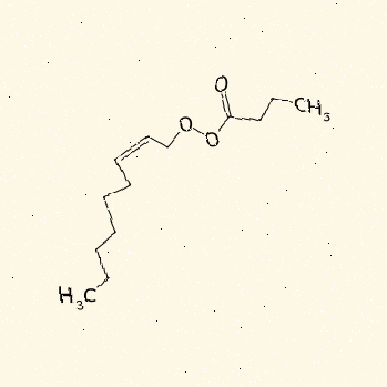 CCCCCC/C=C\COOC(=O)CCC